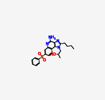 CCCCc1nc2c(N)nc3cc(S(=O)(=O)c4ccccc4)ccc3c2n1CC(C)O